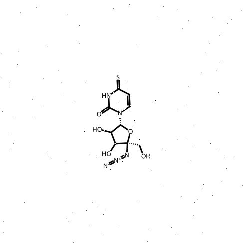 [N-]=[N+]=N[C@]1(CO)O[C@@H](n2ccc(=S)[nH]c2=O)C(O)C1O